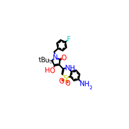 CC(C)(C)[C@H]1C(O)=C(C2=CS(=O)(=O)c3cc(N)ccc3N2)C(=O)N1Cc1ccc(F)cc1